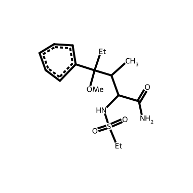 CCC(OC)(c1ccccc1)C(C)C(NS(=O)(=O)CC)C(N)=O